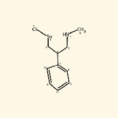 CNCC([CH2][Sn][Cl])c1ccccc1